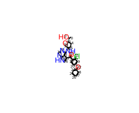 CC(O)[C@@H]1CC[C@@H](Nc2ncnc3[nH]cc(C(=O)c4ccc(Oc5ccccc5)cc4Cl)c23)CO1